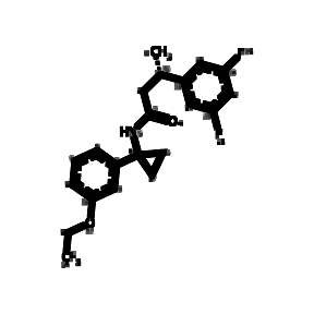 C[C@@H](CC(=O)NC1(c2cccc(OCC(F)(F)F)c2)CC1)c1cc(F)cc(F)c1